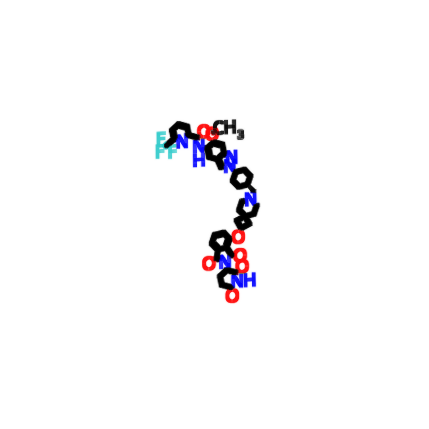 COc1cc2nn([C@H]3CC[C@H](CN4CCC5(CC4)CC(Oc4cccc6c4C(=O)N(C4CCC(=O)NC4=O)C6=O)C5)CC3)cc2cc1NC(=O)c1cccc(C(F)(F)F)n1